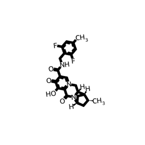 Cc1cc(F)c(CNC(=O)c2cn3c(c(O)c2=O)C(=O)N2[C@@H]4C[C@@H]([C@H](C)C4)[C@H]2C3)c(F)c1